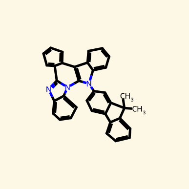 CC1(C)c2ccccc2-c2ccc(-n3c4ccccc4c4c5ccccc5c5nc6ccccc6n5c43)cc21